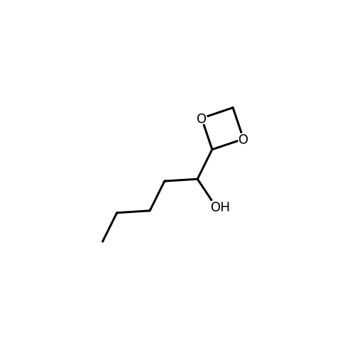 CCCCC(O)C1OCO1